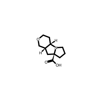 O=C(O)[C@]12CCCN1[C@H]1CCOC[C@H]1C2